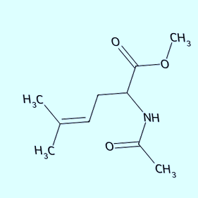 COC(=O)C(CC=C(C)C)NC(C)=O